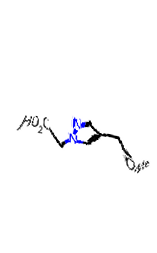 COCc1cnn(CC(=O)O)c1